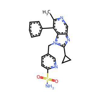 Cc1ncc2nc(C3CC3)n(Cc3ccc(S(N)(=O)=O)nc3)c2c1-c1ccccc1